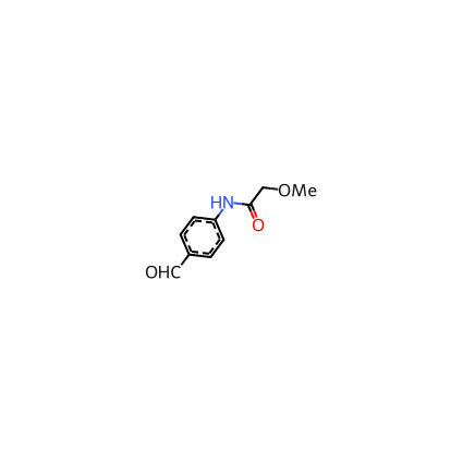 COCC(=O)Nc1ccc(C=O)cc1